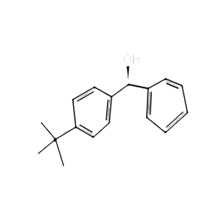 CC(C)(C)c1ccc([C@@H](O)c2ccccc2)cc1